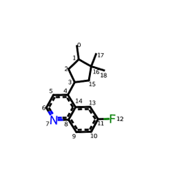 CC1CC(c2ccnc3ccc(F)cc23)CC1(C)C